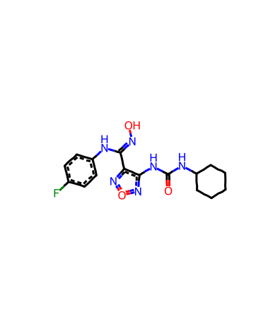 O=C(Nc1nonc1/C(=N/O)Nc1ccc(F)cc1)NC1CCCCC1